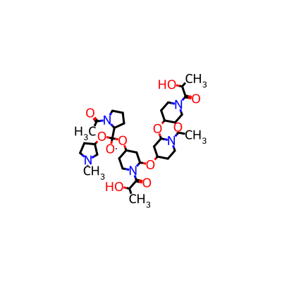 CC(=O)N1CCC(OC2CC(OC([O])(OC3CCN(C)C3)C3CCCN3C(C)=O)CCN2C(=O)C(C)O)CC1OC1CCN(C(=O)C(C)O)CC1